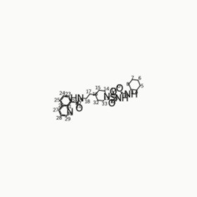 O=C(NC1CCCCC1)NS(=O)(=O)N1CCC(CCNC(=O)c2cccc3cccnc23)CC1